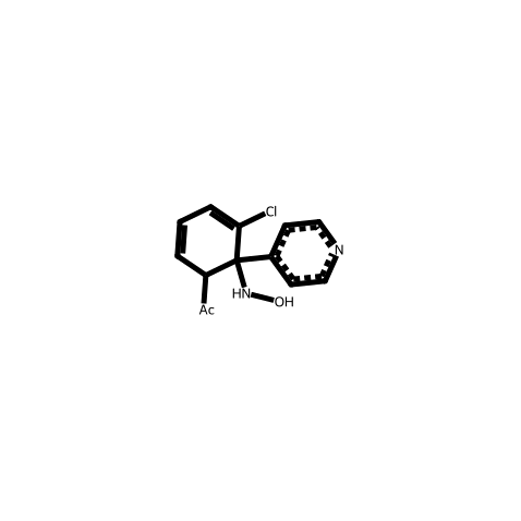 CC(=O)C1C=CC=C(Cl)C1(NO)c1ccncc1